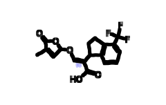 CC1=CC(O/C=C(/C(=O)O)C2CCc3c2cccc3C(F)(F)F)OC1=O